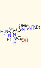 CCc1nc2c(N)ncc(-c3ccc(N4CCC(N5CCN(CC)CC5)CC4)c(OC)c3)c2nc1N[C@@H]1CC[C@H](O)C1